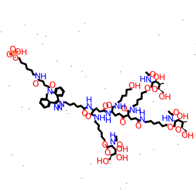 COP(=O)(O)OCCCCCCNC(=O)CCC(=O)N1Cc2ccccc2-c2nnn(CCCCCC(=O)NC(CCC(=O)NC(CCC(=O)C(CCC(=O)NCCCCCCOC3O[C@H](CO)[C@H](C)[C@H](O)[C@H]3NC(C)=O)C(=O)NCCCCCCOC3O[C@H](CO)[C@H](C)[C@H](O)[C@H]3NC(C)=O)C(=O)NCCCCCCO)C(=O)NCCCCCCO[C@@H]3O[C@H](CO)[C@H](O)[C@H](O)[C@H]3NC(C)=O)c2-c2ccccc21